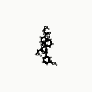 CCC(=O)O[C@@]1(C#Cc2cccc(C)c2)CCC[C@@H]2[C@H]1CCN2C(=O)OC